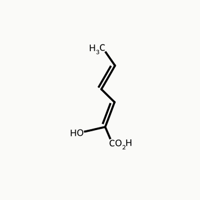 CC=CC=C(O)C(=O)O